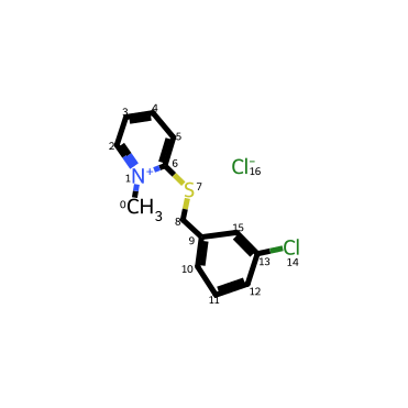 C[n+]1ccccc1SCc1cccc(Cl)c1.[Cl-]